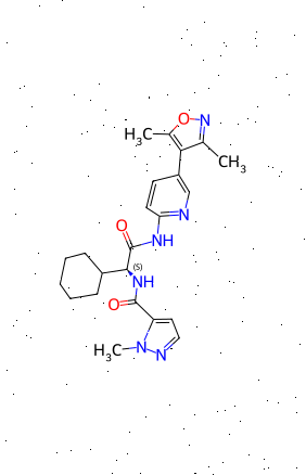 Cc1noc(C)c1-c1ccc(NC(=O)[C@@H](NC(=O)c2ccnn2C)C2CCCCC2)nc1